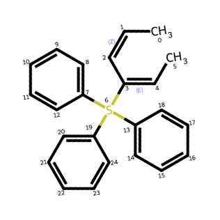 C/C=C\C(=C/C)S(c1ccccc1)(c1ccccc1)c1ccccc1